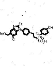 CCc1nc2cc(COC)c(Cl)cc2n1-c1ccc(CCN(C(=O)O)S(=O)(=O)c2ccc(C)cc2)cc1